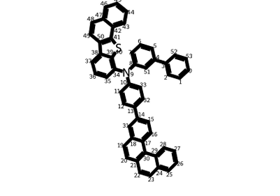 c1ccc(-c2cccc(N(c3ccc(-c4ccc5c(ccc6ccc7ccccc7c65)c4)cc3)c3cccc4c3sc3c5ccccc5ccc43)c2)cc1